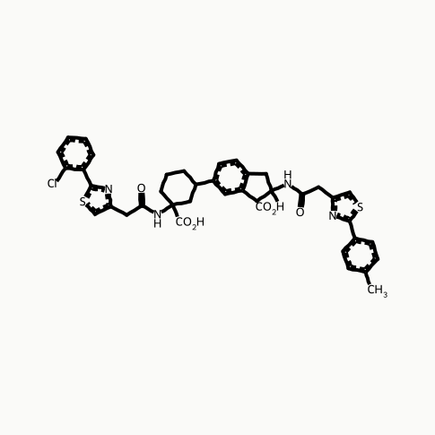 Cc1ccc(-c2nc(CC(=O)NC3(C(=O)O)Cc4ccc(C5CCCC(NC(=O)Cc6csc(-c7ccccc7Cl)n6)(C(=O)O)C5)cc4C3)cs2)cc1